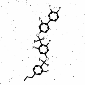 CCCc1ccc(C(F)(F)Oc2cc(F)c(C(F)(F)Oc3ccc(-c4ccc(F)c(F)c4)c(F)c3)c(F)c2)c(F)c1